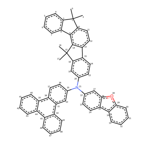 CC1(C)c2ccccc2-c2c1ccc1c2C(C)(C)c2cc(N(c3ccc4c(c3)oc3ccccc34)c3ccc4c5ccccc5c5ccccc5c4c3)ccc2-1